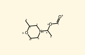 CC1CN(C(C)OC=O)CCO1